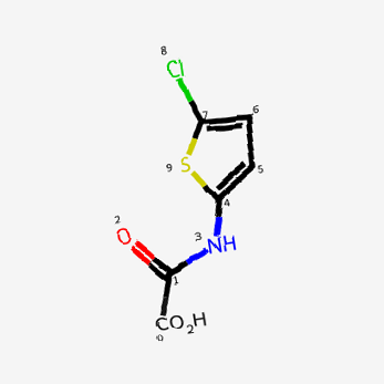 O=C(O)C(=O)Nc1ccc(Cl)s1